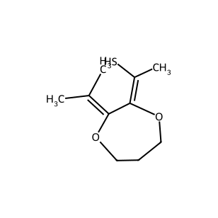 CC(C)=C1OCCCO/C1=C(\C)S